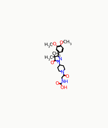 COc1ccc(C2=NN(C3CCN(C(=O)CNC(=O)O)CC3)C(=O)C2(C)C)cc1OC